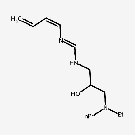 C=C/C=C\N=C\NCC(O)CN(CC)CCC